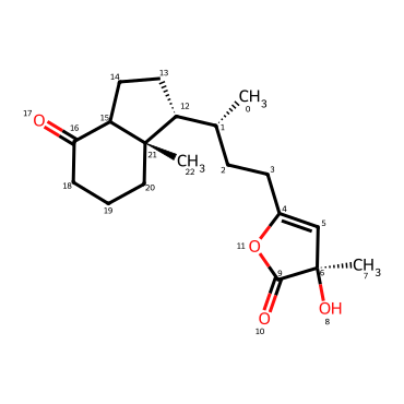 C[C@H](CCC1=C[C@@](C)(O)C(=O)O1)[C@H]1CCC2C(=O)CCC[C@]21C